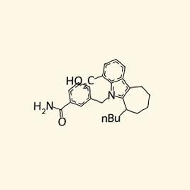 CCCCC1CCCCc2c1n(Cc1cccc(C(N)=O)c1)c1c(C(=O)O)cccc21